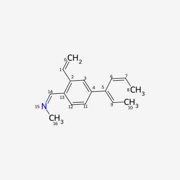 C=Cc1cc(C(/C=C\C)=C/C)ccc1/C=N\C